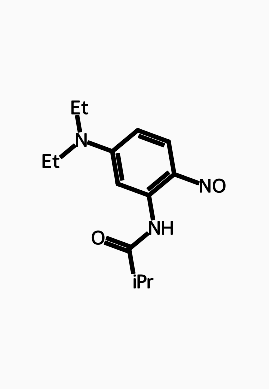 CCN(CC)c1ccc(N=O)c(NC(=O)C(C)C)c1